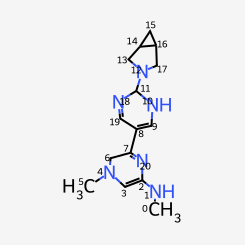 CNC1=CN(C)CC(C2=CNC(N3CC4CC4C3)N=C2)=N1